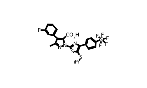 Cc1nn(-c2nc(-c3ccc(S(F)(F)(F)(F)F)cc3)c(SC(C)C)s2)c(C(=O)O)c1-c1cccc(F)c1